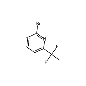 CC(F)(F)c1cc[c]c(Br)n1